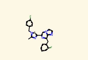 Cc1nc(-c2cn3ccnc3c(Cc3ccccc3F)n2)bn1Cc1ccc(F)cc1